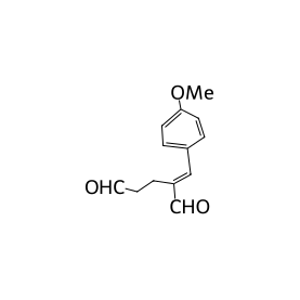 COc1ccc(/C=C(/C=O)CCC=O)cc1